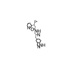 CN(C)C(CNC(=O)CC(c1cccnc1)C1CC1)Cc1ccc2[nH]ncc2c1